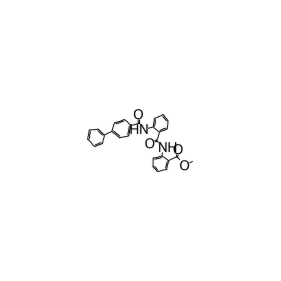 COC(=O)c1ccccc1NC(=O)c1ccccc1NC(=O)c1ccc(-c2ccccc2)cc1